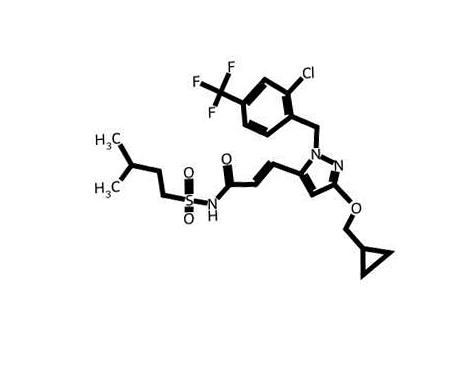 CC(C)CCS(=O)(=O)NC(=O)/C=C/c1cc(OCC2CC2)nn1Cc1ccc(C(F)(F)F)cc1Cl